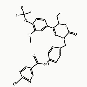 CCC1SC(=O)N(Cc2ccc(NC(=O)c3ccc(Cl)nn3)cc2)N=C1c1ccc(OC(F)(F)F)c(OC)c1